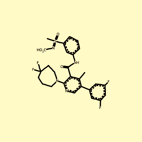 Cc1c(-c2cc(F)cc(F)c2)cnc(N2CCCC(F)(F)CC2)c1C(=O)Nc1cccc(S(C)(=O)=NC(=O)O)c1